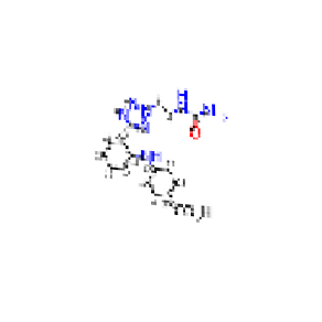 NC(=O)NCCn1nnc(-c2ccccc2Nc2ccc(C(=O)O)cc2)n1